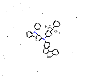 CC(C)(c1ccccc1)c1ccc(N(c2ccc3c(ccc4ccc5ccccc5c43)c2)c2ccc3c4ccccc4n(-c4ccccc4)c3c2)cc1